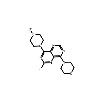 [O-][S+]1CCN(c2nc(Cl)nc3c(N4CCSCC4)ncnc23)CC1